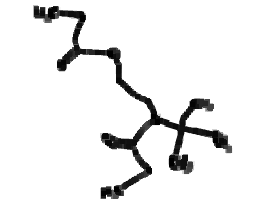 CCC(=O)OCCN(C(=O)CC)C(C)(C)C